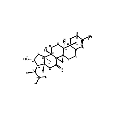 CC(C)C1=NC2CCC34C[C@]35C(=O)C[C@]3(C)[C@@H]([C@H](C)N(C)C)[C@H](O)C[C@@]3(C)[C@@H]5CC[C@H]4[C@]2(C)CN1